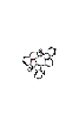 O=P1(c2ccccc2)C2=C(c3ccccc3P(=O)(c3ccccc3)c3ccccc32)c2ncccc21